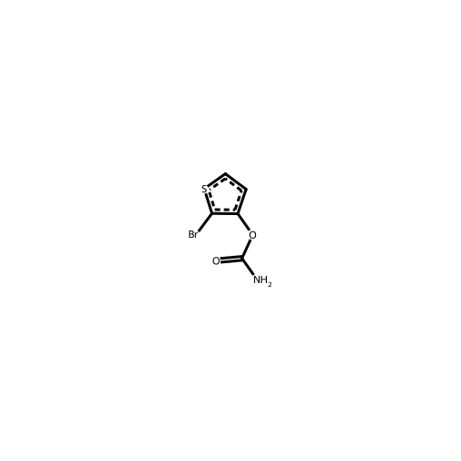 NC(=O)Oc1ccsc1Br